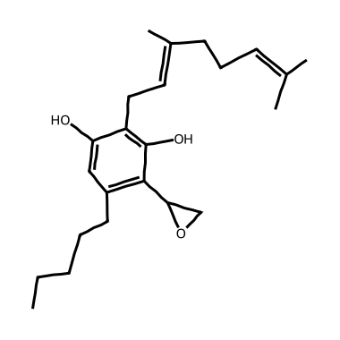 CCCCCc1cc(O)c(C/C=C(\C)CCC=C(C)C)c(O)c1C1CO1